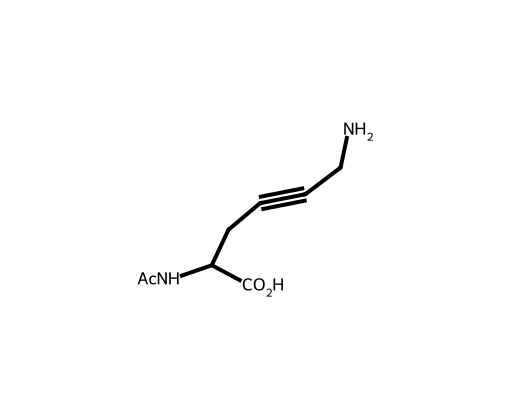 CC(=O)NC(CC#CCN)C(=O)O